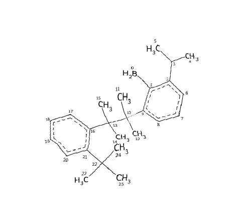 Bc1c(C(C)C)cccc1C(C)(C)C(C)(C)c1ccccc1C(C)(C)C